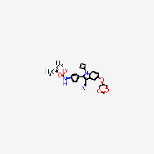 CC(C)OC(=O)Nc1ccc(-c2c(C#N)c3cc(OC4COCOC4)ccc3n2C2CCC2)cc1